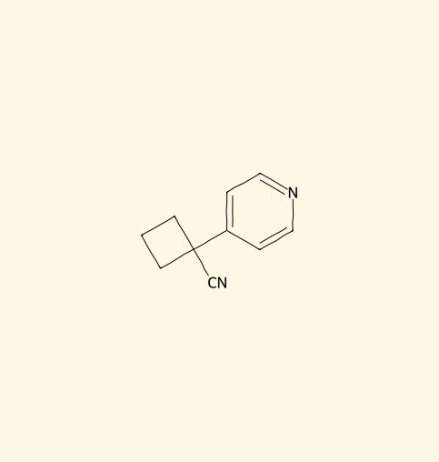 N#CC1(c2ccncc2)CCC1